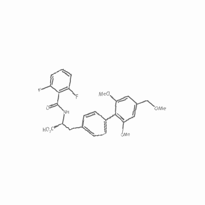 COCc1cc(OC)c(-c2ccc(C[C@H](NC(=O)c3c(F)cccc3F)C(=O)O)cc2)c(OC)c1